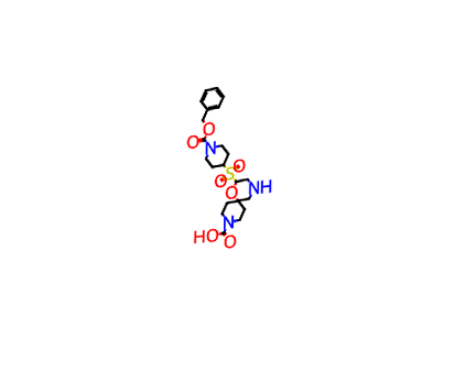 O=C(O)N1CCC2(CC1)CNCC(S(=O)(=O)C1CCN(C(=O)OCc3ccccc3)CC1)O2